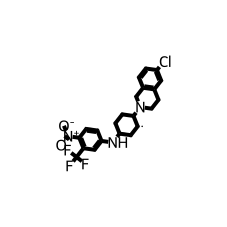 O=[N+]([O-])c1ccc(NC2C[CH]C(N3CCc4cc(Cl)ccc4C3)CC2)cc1C(F)(F)F